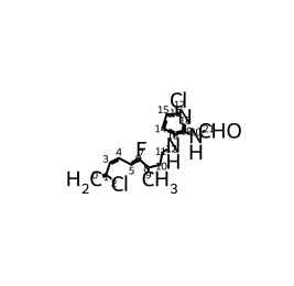 C=C(Cl)/C=C\C=C(/F)C(C)CCNc1ccc(Cl)nc1NC=O